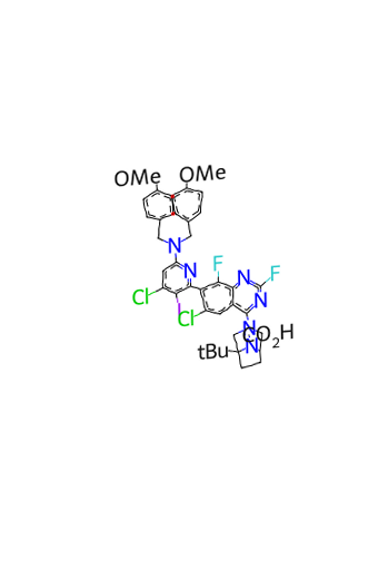 COc1ccc(CN(Cc2ccc(OC)cc2)c2cc(Cl)c(I)c(-c3c(Cl)cc4c(N5CC6CCC(C(C)(C)C)(C5)N6C(=O)O)nc(F)nc4c3F)n2)cc1